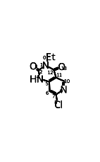 CCn1c(=O)[nH]c2cc(Cl)ncc2c1=O